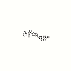 Cc1cc(Cn2ccc3cc(C(=O)NCC45CC6CC(CC(C6)C4)C5)ccc32)ccc1C(=O)NO